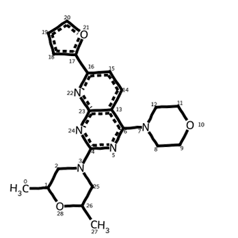 CC1CN(c2nc(N3CCOCC3)c3ccc(-c4ccco4)nc3n2)CC(C)O1